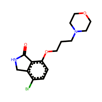 O=C1NCc2c(Br)ccc(OCCCN3CCOCC3)c21